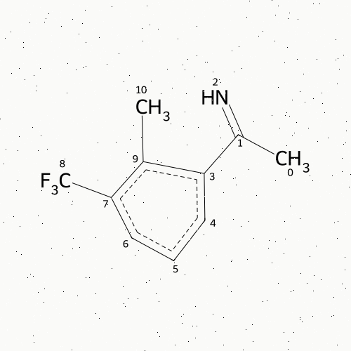 CC(=N)c1cccc(C(F)(F)F)c1C